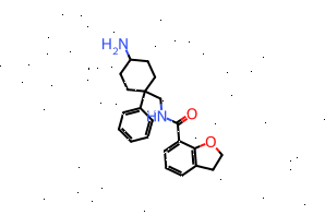 NC1CCC(CNC(=O)c2cccc3c2OCC3)(c2ccccc2)CC1